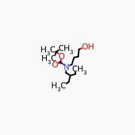 CCC(CC)CN(CCCCO)C(=O)OC(C)(C)C